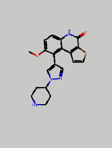 COc1ccc2[nH]c(=O)c3sccc3c2c1-c1cnn(C2CCNCC2)c1